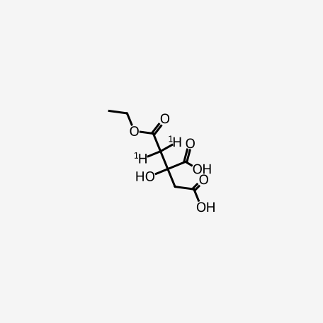 [1H]C([1H])(C(=O)OCC)C(O)(CC(=O)O)C(=O)O